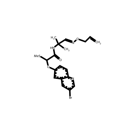 C=CCON=CC(C)(C)NC(=O)C(Oc1ccc2ncc(Br)cc2c1)SC